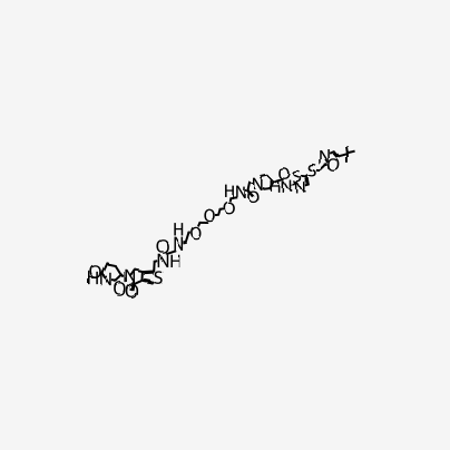 CC(C)(C)c1cnc(CSc2cnc(NC(=O)C3CCN(CC(=O)NCCOCCOCCOCCNCC(=O)NCc4scc5c4CN(C4CCC(=O)NC4=O)C5=O)CC3)s2)o1